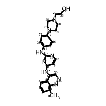 Cc1cccc2c(Nc3ccnc(Nc4ccc(N5CCN(CCO)CC5)cc4)n3)cnnc12